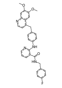 COc1cc2nccc(Cc3ccc(Nc4ncccc4C(=O)NCc4ccc(F)cc4)cc3)c2cc1OC